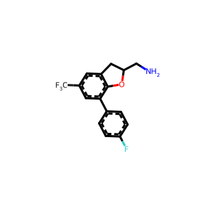 NCC1Cc2cc(C(F)(F)F)cc(-c3ccc(F)cc3)c2O1